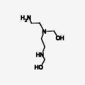 NCCN(CO)CCNCO